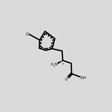 N[C@H](CC(=O)O)Cc1ccc(Cl)cc1